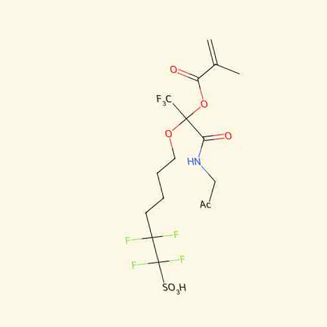 C=C(C)C(=O)OC(OCCCCC(F)(F)C(F)(F)S(=O)(=O)O)(C(=O)NCC(C)=O)C(F)(F)F